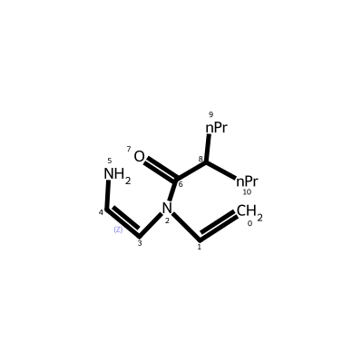 C=CN(/C=C\N)C(=O)C(CCC)CCC